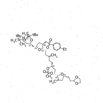 C=C(CC[C@@H](CC[C@@H]1O[C@@H](CCC2OCCO2)CC1=C)OS(C)(=O)=O)CC[C@@H]1O[C@H](C[C@@H](CO[Si](C)(C)C(C)(C)C)O[Si](C)(C)C(C)(C)C)C[C@H]1CS(=O)(=O)c1ccc(CC)cc1